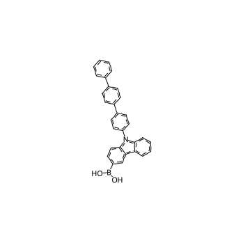 OB(O)c1ccc2c(c1)c1ccccc1n2-c1ccc(-c2ccc(-c3ccccc3)cc2)cc1